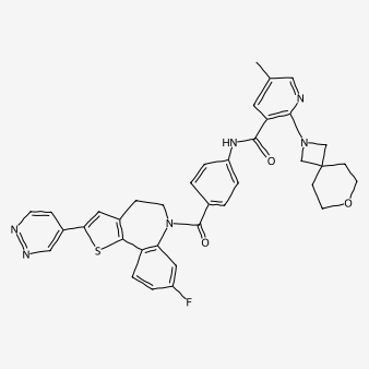 Cc1cnc(N2CC3(CCOCC3)C2)c(C(=O)Nc2ccc(C(=O)N3CCc4cc(-c5ccnnc5)sc4-c4ccc(F)cc43)cc2)c1